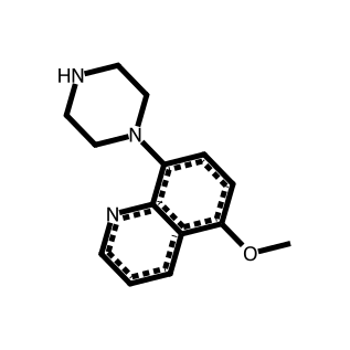 COc1ccc(N2CCNCC2)c2ncccc12